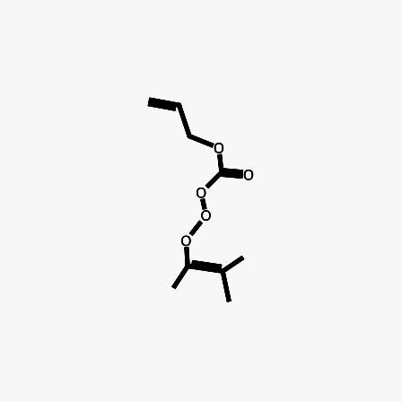 C=CCOC(=O)OOOC(C)=C(C)C